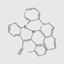 C#CC1=C(c2ccccc2C)N2B(c3ccccc31)c1ccccc1-c1ccc3ccccc3c12